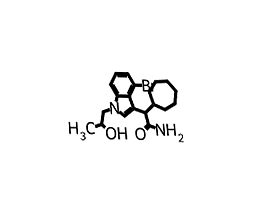 CC(O)Cn1cc(C(C(N)=O)C2CCCCCC2)c2c(Br)cccc21